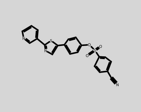 N#Cc1ccc(S(=O)(=O)Oc2ccc(-c3cnc(-c4cccnc4)s3)cc2)cc1